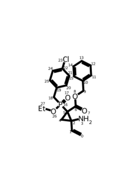 C=CC1(N)CC1(C(=O)OCc1ccccc1)P(=O)(Cc1ccc(Cl)cc1)OCC